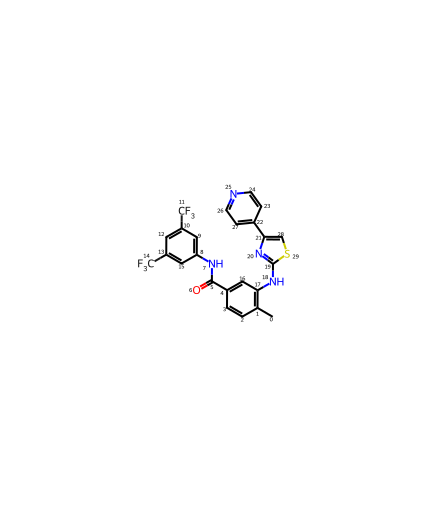 Cc1ccc(C(=O)Nc2cc(C(F)(F)F)cc(C(F)(F)F)c2)cc1Nc1nc(-c2ccncc2)cs1